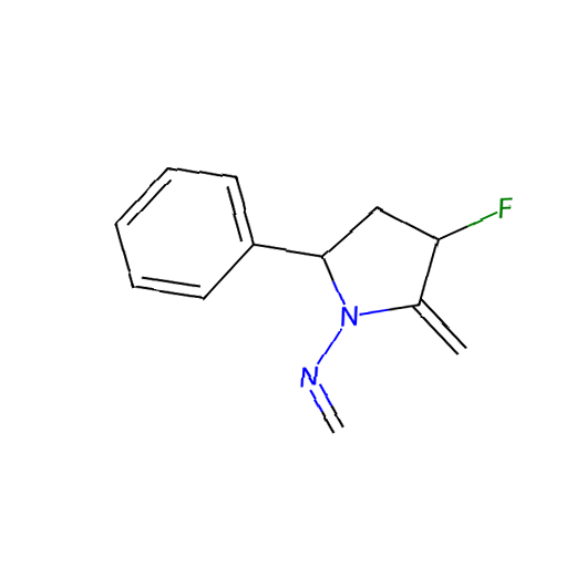 C=NN1C(=C)C(F)CC1c1ccccc1